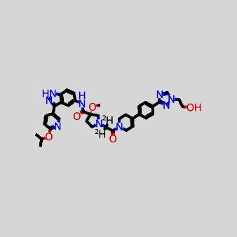 [2H]C([2H])(C(=O)N1CC=C(c2ccc(-c3ncn(CCO)n3)cc2)CC1)N1CC[C@@](OC)(C(=O)Nc2ccc3[nH]nc(-c4ccc(OC(C)C)nc4)c3c2)C1